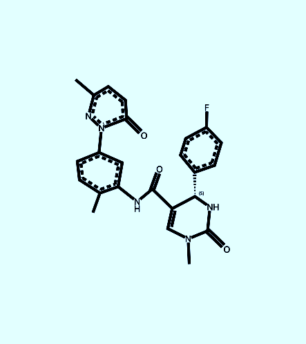 Cc1ccc(=O)n(-c2ccc(C)c(NC(=O)C3=CN(C)C(=O)N[C@H]3c3ccc(F)cc3)c2)n1